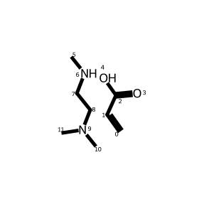 C=CC(=O)O.CNCCN(C)C